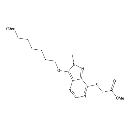 CCCCCCCCCCCCCCCCOc1c2ncnc(SCC(=O)OC)c2nn1C